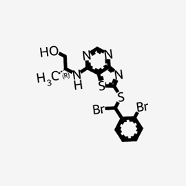 C[C@H](CO)Nc1ncnc2nc(SC(Br)c3ccccc3Br)sc12